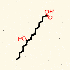 CCCCCCC(O)C/C=C/CCCCCC(=O)O